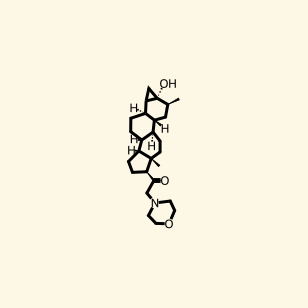 C[C@H]1C[C@@H]2[C@H]3CC[C@]4(C)[C@@H](C(=O)CN5CCOCC5)CC[C@H]4[C@@H]3CC[C@H]2C2C[C@]21O